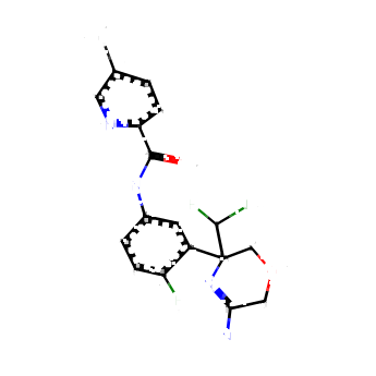 NC1=NC(c2cc(NC(=O)c3ccc(C(F)(F)F)cn3)ccc2F)(C(F)F)COC1